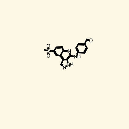 CS(=O)(=O)c1ccc2nc(Nc3ccc(C=O)cc3)c3[nH]ncc3c2c1